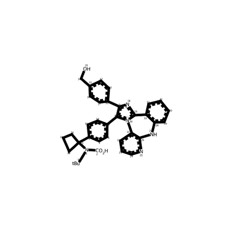 CC(C)(C)N(C(=O)O)C1(c2ccc(-c3c(-c4ccc(CO)cc4)nc4n3-c3cccnc3Nc3ccccc3-4)cc2)CCC1